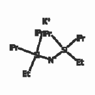 CC[Si]([N-][Si](CC)(C(C)C)C(C)C)(C(C)C)C(C)C.[K+]